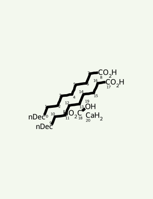 CCCCCCCCCCCCCCCCCC(=O)O.CCCCCCCCCCCCCCCCCC(=O)O.O=C(O)O.[CaH2]